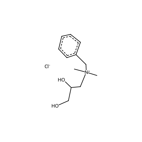 C[N+](C)(Cc1ccccc1)CC(O)CO.[Cl-]